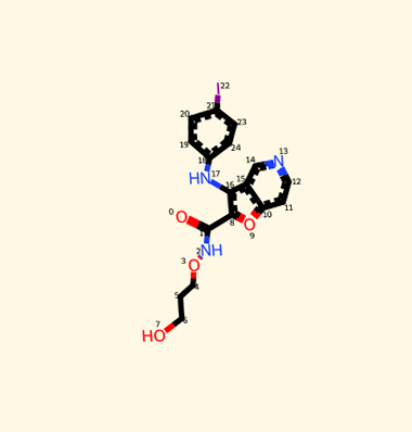 O=C(NOCCCO)c1oc2ccncc2c1Nc1ccc(I)cc1